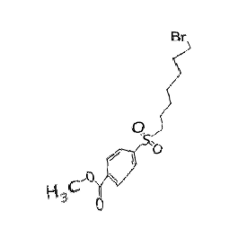 COC(=O)c1ccc(S(=O)(=O)CCCCCCCBr)cc1